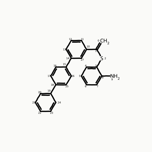 C=C(Sc1ccccc1N)c1cccc(-c2ccc(-c3ccccc3)cc2)c1